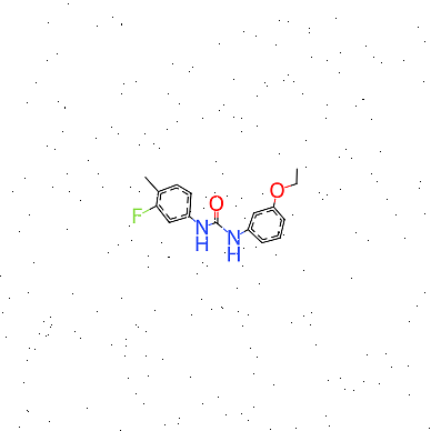 CCOc1cccc(NC(=O)Nc2ccc(C)c(F)c2)c1